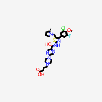 COc1c(F)cc(-c2nc(NC(O)c3cnc(N4CCN(CCCC(=O)O)CC4)cn3)sc2CN2CCC[C@H]2C)cc1Cl